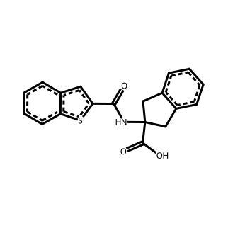 O=C(NC1(C(=O)O)Cc2ccccc2C1)c1cc2ccccc2s1